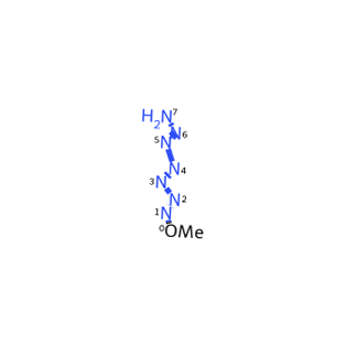 CON=NN=NN=NN